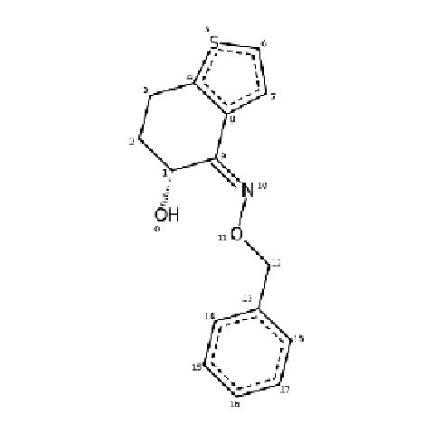 O[C@@H]1CCc2sccc2/C1=N/OCc1ccccc1